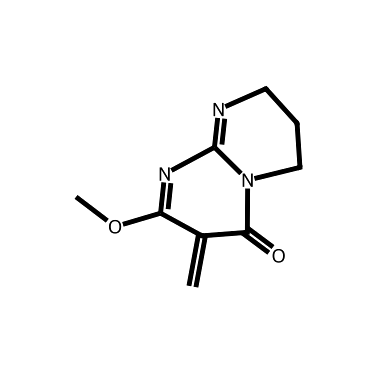 C=c1c(OC)nc2n(c1=O)CCCN=2